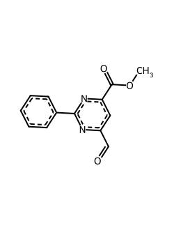 COC(=O)c1cc(C=O)nc(-c2ccccc2)n1